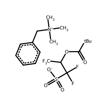 CC(C)(C)C(=O)OC(C(F)(F)F)C(F)(F)S(=O)(=O)[O-].C[N+](C)(C)Cc1ccccc1